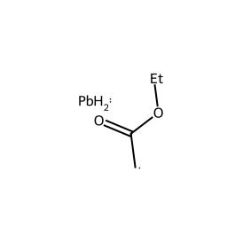 [CH2]C(=O)OCC.[PbH2]